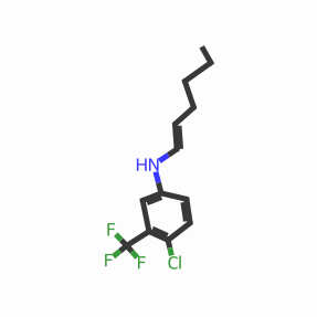 CCCCC=CNc1ccc(Cl)c(C(F)(F)F)c1